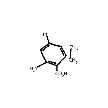 CC.Nc1cc(Cl)ccc1C(=O)O